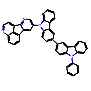 c1ccc(-n2c3ccccc3c3cc(-c4ccc5c(c4)c4ccccc4n5-c4cnc5c(c4)-c4cccc6nccc-5c46)ccc32)cc1